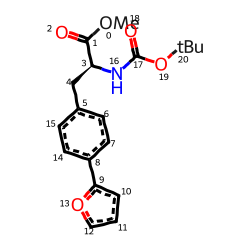 COC(=O)[C@H](Cc1ccc(-c2ccco2)cc1)NC(=O)OC(C)(C)C